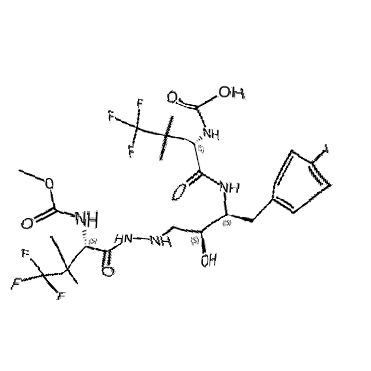 COC(=O)N[C@H](C(=O)NNC[C@H](O)[C@H](Cc1ccc(I)cc1)NC(=O)[C@@H](NC(=O)O)C(C)(C)C(F)(F)F)C(C)(C)C(F)(F)F